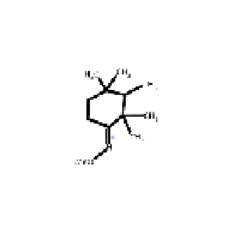 CO/N=C1\CCC(C)(C)C(C)C1(C)C